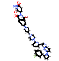 O=C1CCC(N2C(=O)c3ccc(N4CCC(N5CCN(c6cccc(-c7cnc8ccc(N9CCCC9c9cccc(F)c9)nn78)n6)CC5)CC4)cc3C2=O)C(=O)N1